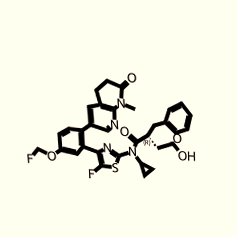 CN1C(=O)CCc2cc(-c3ccc(OCF)cc3-c3nc(N(C(=O)[C@@H](CC(=O)O)Cc4ccccc4)C4CC4)sc3F)cnc21